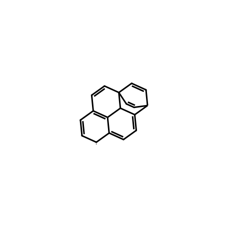 [CH]1C=CC2=C3C1=CC=C1C4C=CC(C=C2)(C=C4)C13